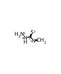 C=NC(=S)NN